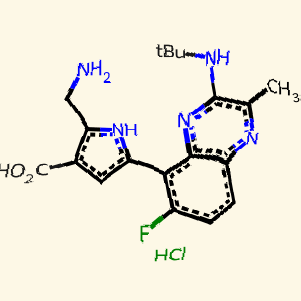 Cc1nc2ccc(F)c(-c3cc(C(=O)O)c(CN)[nH]3)c2nc1NC(C)(C)C.Cl